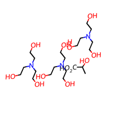 CC(O)C(=O)O.OCCN(CCO)CCO.OCCN(CCO)CCO.OCCN(CCO)CCO